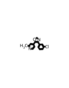 Cc1cc(-c2ocnc2-c2cccc(Cl)c2)ccn1